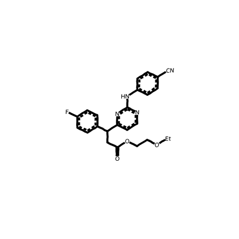 CCOCCOC(=O)CC(c1ccc(F)cc1)c1ccnc(Nc2ccc(C#N)cc2)n1